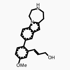 COc1ccc(-c2ccc3c(c2)cc2n3CCNCC2)c(C=CCO)c1